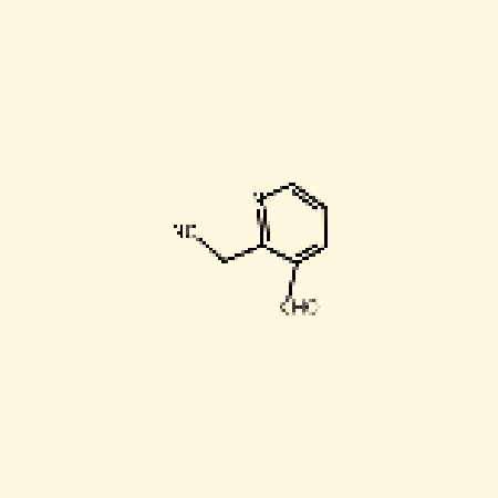 N#CCc1ncccc1C=O